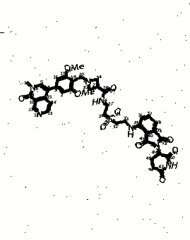 COc1cc(-c2cn(C)c(=O)c3cnccc23)cc(OC)c1CN1CC(C(=O)NCCS(=O)(=O)CCNc2cccc3c2C(=O)N(C2CCC(=O)NC2=O)C3=O)C1